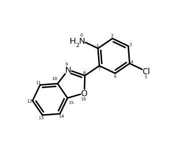 Nc1ccc(Cl)cc1-c1nc2ccccc2o1